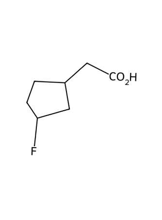 O=C(O)CC1CCC(F)C1